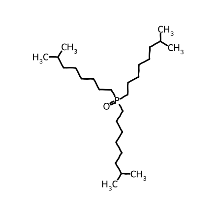 CC(C)CCCCCCP(=O)(CCCCCCC(C)C)CCCCCCC(C)C